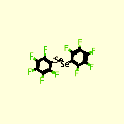 Fc1c(F)c(F)c([Se][Se]c2c(F)c(F)c(F)c(F)c2F)c(F)c1F